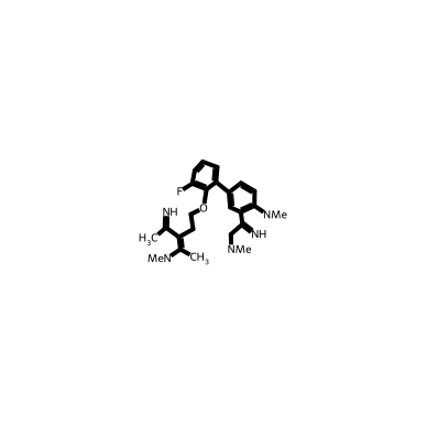 CNCC(=N)c1cc(-c2cccc(F)c2OCC/C(C(C)=N)=C(\C)NC)ccc1NC